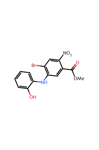 COC(=O)c1cc(Nc2ccccc2O)c(Br)cc1[N+](=O)[O-]